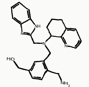 NCc1ccc(CO)cc1CN(Cc1nc2ccccc2[nH]1)C1CCCc2cccnc21